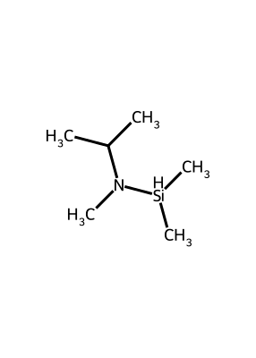 CC(C)N(C)[SiH](C)C